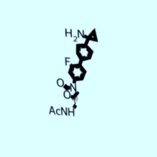 CC(=O)NC[C@H]1CN(c2ccc(-c3ccc(C4(N)CC4)cc3)c(F)c2)C(=O)O1